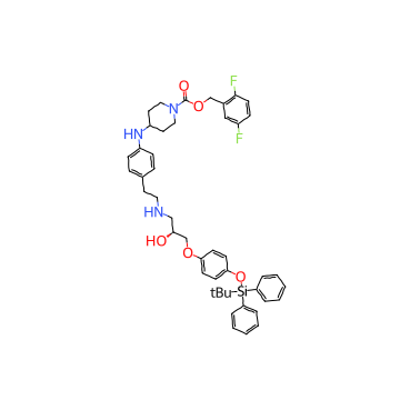 CC(C)(C)[Si](Oc1ccc(OC[C@@H](O)CNCCc2ccc(NC3CCN(C(=O)OCc4cc(F)ccc4F)CC3)cc2)cc1)(c1ccccc1)c1ccccc1